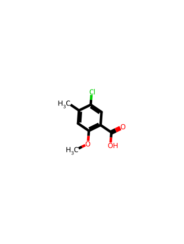 COc1cc(C)c(Cl)cc1C(=O)O